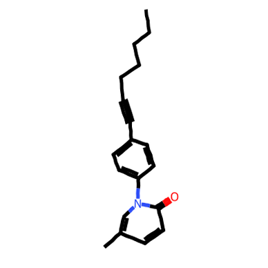 CCCCCC#Cc1ccc(-n2cc(C)ccc2=O)cc1